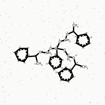 CC(O[SiH2]O[Si](O[SiH2]OC(C)c1ccccc1)(O[SiH2]OC(C)c1ccccc1)c1ccccc1)c1ccccc1